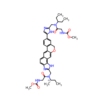 CCC(CC)N(Cc1ncc(-c2ccc3c(c2)COc2cc4c(ccc5nc(CN(C(=O)CNC(=O)OC)[C@@H](C)CC)[nH]c54)cc2-3)[nH]1)C(=O)CNC(=O)OC